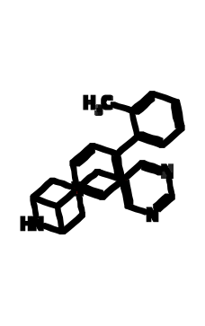 Cc1ccccc1-c1ccc(C2C3CN(Cc4cncnc4)CC2N3)cc1